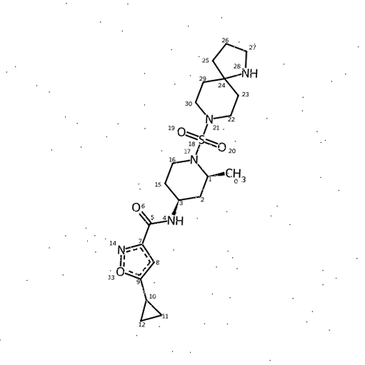 C[C@H]1C[C@@H](NC(=O)c2cc(C3CC3)on2)CCN1S(=O)(=O)N1CCC2(CCCN2)CC1